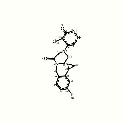 O=C1CN(c2cn[nH]c(=O)c2Cl)CCN1Cc1ccc(F)cc1C1CC1